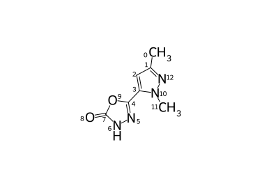 Cc1cc(-c2n[nH]c(=O)o2)n(C)n1